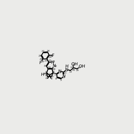 CC1(C)[C@H]2CC[C@@]1(c1ccnc(NC[C@@H](O)CO)n1)c1nnc(-c3c(F)cccc3F)cc12